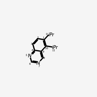 CC(C)c1ccc2ncncc2c1C(C)C